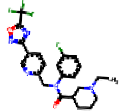 CCN1CCCC(C(=O)N(Cc2ccc(-c3noc(C(F)(F)F)n3)cn2)c2cccc(F)c2)C1